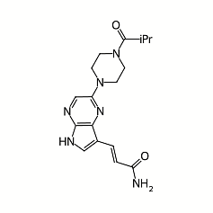 CC(C)C(=O)N1CCN(c2cnc3[nH]cc(C=CC(N)=O)c3n2)CC1